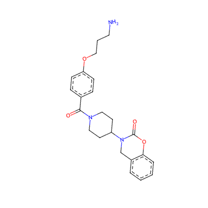 NCCCOc1ccc(C(=O)N2CCC(N3Cc4ccccc4OC3=O)CC2)cc1